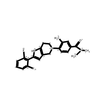 Cc1cc(C(=O)N(C)C)ccc1N1CCc2[nH]c(-c3c(F)cccc3F)cc2C1